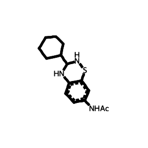 CC(=O)Nc1ccc2c(c1)SNC(C1CCCCC1)N2